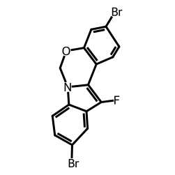 Fc1c2n(c3ccc(Br)cc13)COc1cc(Br)ccc1-2